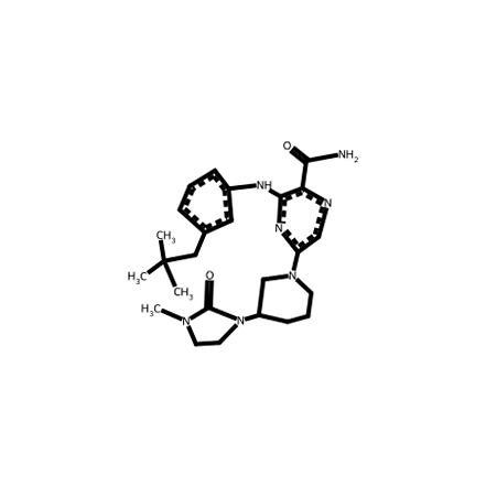 CN1CCN(C2CCCN(c3cnc(C(N)=O)c(Nc4cccc(CC(C)(C)C)c4)n3)C2)C1=O